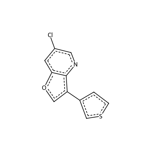 Clc1cnc2c(-c3ccsc3)coc2c1